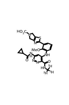 [2H]C([2H])([2H])NC(=O)c1nnc(NC(=O)C2CC2)cc1Nc1cccc(-c2nc3c(s2)CN(C(=O)O)C3)c1OC